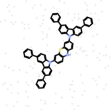 c1ccc(-c2ccc3c(c2)c2cc(-c4ccccc4)ccc2n3-c2ccc3c(c2)Sc2cc(-n4c5ccc(-c6ccccc6)cc5c5cc(-c6ccccc6)ccc54)ccc2N3)cc1